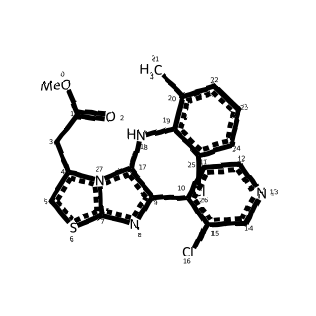 COC(=O)Cc1csc2nc(-c3ccncc3Cl)c(Nc3c(C)cccc3Cl)n12